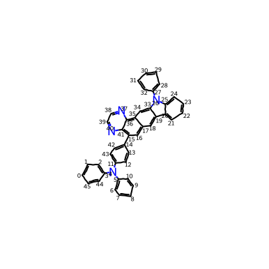 c1ccc(N(c2ccccc2)c2ccc(-c3cc4cc5c6ccccc6n(-c6ccccc6)c5cc4c4nccnc34)cc2)cc1